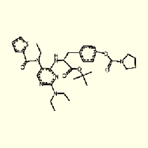 CCN(CC)c1ncc(N(CC)C(=O)c2cccs2)c(N[C@@H](Cc2ccc(OC(=O)N3CCCC3)cc2)C(=O)OC(C)(C)C)n1